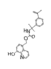 C=C(C)c1cccc(C(C)(C)NC(=O)OCc2ccc(O)c3ncccc23)c1